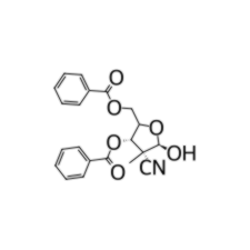 C[C@]1(C#N)[C@H](O)OC(COC(=O)c2ccccc2)[C@H]1OC(=O)c1ccccc1